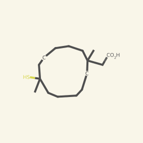 CC1(S)CCCCCC(C)(CC(=O)O)CCCCC1